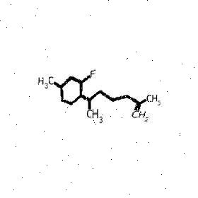 C=C(C)CCCC(C)C1CCC(C)CC1F